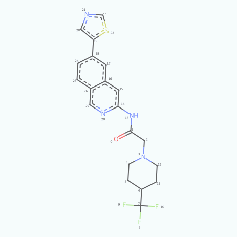 O=C(CN1CCC(C(F)(F)F)CC1)Nc1cc2cc(-c3cncs3)ccc2cn1